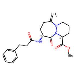 C=C1CC[C@H](NC(=O)CCc2ccccc2)C(=O)N2[C@H](C(=O)OC(C)(C)C)CCCN12